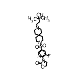 CC(C)(C)CCN1CCC2(CC1)CCN(S(=O)(=O)c1cnc(N3CCOC3=O)c(F)c1)CC2